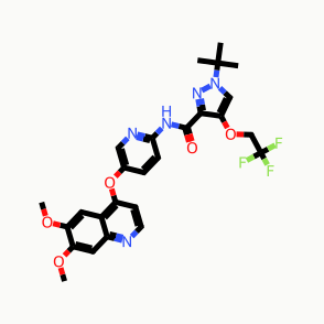 COc1cc2nccc(Oc3ccc(NC(=O)c4nn(C(C)(C)C)cc4OCC(F)(F)F)nc3)c2cc1OC